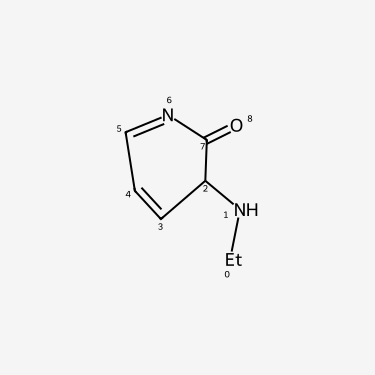 CCNC1C=CC=NC1=O